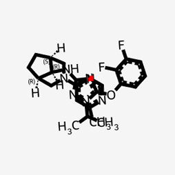 Cc1cc(N2C[C@H]3CC[C@@H](C2)[C@H]3Nc2nc(Oc3cccc(F)c3F)n(C(C)C)n2)ncn1